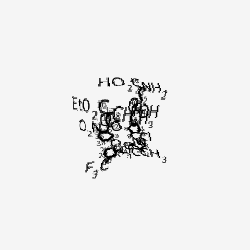 CC1(C)CON(Cc2ccccc2Cl)C1=O.CCOC(=O)C(C)OC(=O)c1cc(Oc2ccc(C(F)(F)F)cc2Cl)ccc1[N+](=O)[O-].CP(=O)(O)CCC(N)C(=O)O